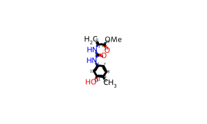 C=C(NC(=O)Nc1ccc(C)c(O)c1)C(=O)OC